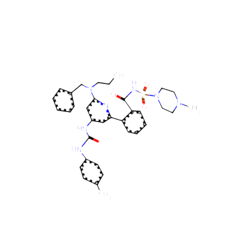 CCCN(Cc1ccccc1)c1cc(NC(=O)Nc2ccc(C)cc2)cc(-c2ccccc2C(=O)NS(=O)(=O)N2CCN(C)CC2)n1